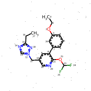 CCOc1cccc(-c2cc(Cn3cnc(CC)n3)cnc2OC(F)F)c1